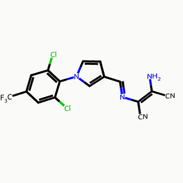 N#CC(N)=C(C#N)N=Cc1ccn(-c2c(Cl)cc(C(F)(F)F)cc2Cl)c1